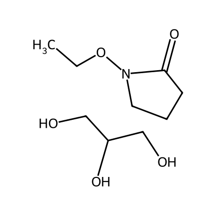 CCON1CCCC1=O.OCC(O)CO